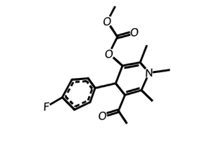 COC(=O)OC1=C(C)N(C)C(C)=C(C(C)=O)C1c1ccc(F)cc1